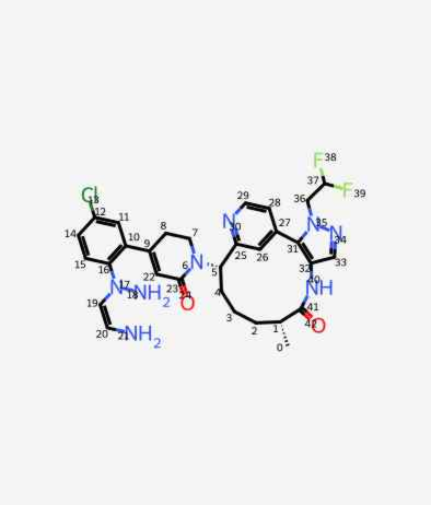 C[C@@H]1CCC[C@H](N2CCC(c3cc(Cl)ccc3N(N)/C=C\N)=CC2=O)c2cc(ccn2)-c2c(cnn2CC(F)F)NC1=O